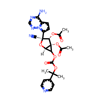 CC(=O)O[C@@H]1[C@@]2(OC(C)=O)C(OC(=O)OC(C)(C)c3ccncc3)[C@H]2O[C@@]1(C#N)c1ccc2c(N)ncnn12